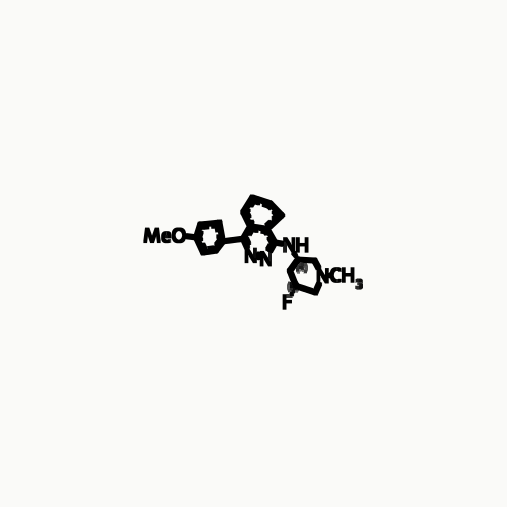 COc1ccc(-c2nnc(N[C@@H]3C[C@@H](F)CN(C)C3)c3ccccc23)cc1